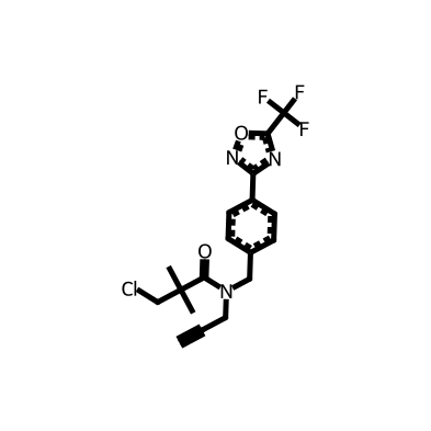 C#CCN(Cc1ccc(-c2noc(C(F)(F)F)n2)cc1)C(=O)C(C)(C)CCl